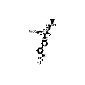 COCCS(=O)(=O)C(C(=O)NCC(=O)NC1CC1)c1nc2cc(-c3cccc(C(=O)NCC(F)(F)F)c3)ccc2s1